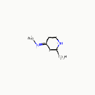 CO/N=C1\CCNC(C(=O)O)C1